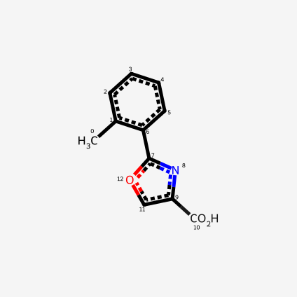 Cc1ccccc1-c1nc(C(=O)O)co1